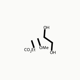 CCOC(C)=O.COC.OCCO